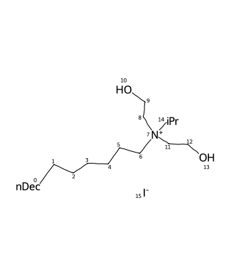 CCCCCCCCCCCCCCCC[N+](CCO)(CCO)C(C)C.[I-]